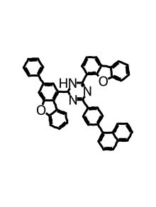 c1ccc(-c2cc(C3N=C(c4ccc(-c5cccc6ccccc56)cc4)N=C(c4cccc5c4oc4ccccc45)N3)c3c(c2)oc2ccccc23)cc1